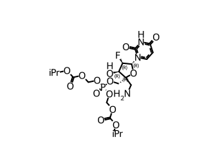 CC(C)OC(=O)OCOP(=O)(OCOC(=O)OC(C)C)OC[C@@]1(CN)O[C@@H](n2ccc(=O)[nH]c2=O)[C@H](F)[C@@H]1O